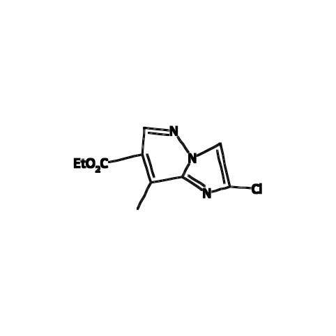 CCOC(=O)c1cnn2cc(Cl)nc2c1C